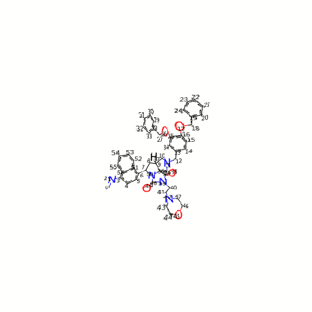 CN(C)c1ccc(C2C[C@@H]3CN(Cc4ccc(OCc5ccccc5)c(OCc5ccccc5)c4)C[C@]34C(=O)N(CCN3CCOCC3)C(=O)N24)c2ccccc12